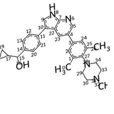 Cc1cc(-c2cnc3[nH]cc(-c4ccc(C(O)C5CC5)cc4)c3c2)cc(C)c1N1CCN(C)CC1